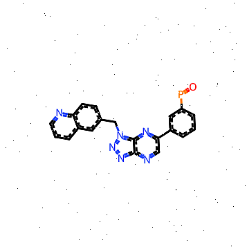 O=Pc1cccc(-c2cnc3nnn(Cc4ccc5ncccc5c4)c3n2)c1